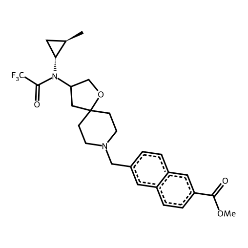 COC(=O)c1ccc2cc(CN3CCC4(CC3)CC(N(C(=O)C(F)(F)F)[C@@H]3C[C@H]3C)CO4)ccc2c1